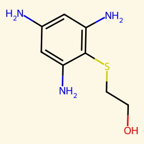 Nc1cc(N)c(SCCO)c(N)c1